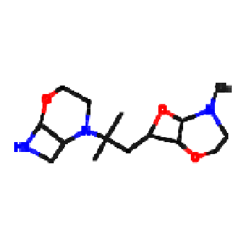 CC(C)(C)N1CCOC2C(CC(C)(C)N3CCOC4NCC43)OC21